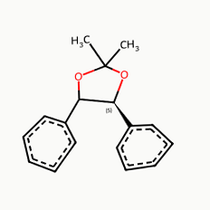 CC1(C)OC(c2ccccc2)[C@H](c2ccccc2)O1